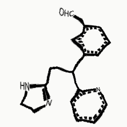 O=Cc1cccc(C(CC2=NCCN2)c2ccccn2)c1